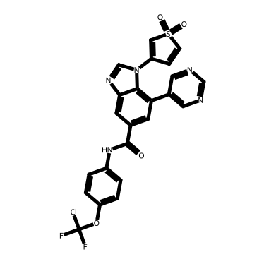 O=C(Nc1ccc(OC(F)(F)Cl)cc1)c1cc(-c2cncnc2)c2c(c1)ncn2C1=CS(=O)(=O)C=C1